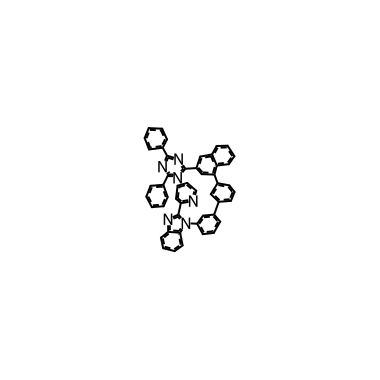 c1ccc(-c2nc(-c3ccccc3)nc(-c3cc(-c4cccc(-c5cccc(-n6c(-c7ccccn7)nc7ccccc76)c5)c4)c4ccccc4c3)n2)cc1